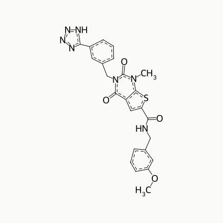 COc1cccc(CNC(=O)c2cc3c(=O)n(Cc4cccc(-c5nnn[nH]5)c4)c(=O)n(C)c3s2)c1